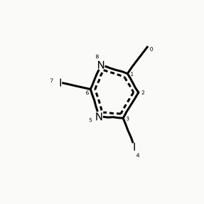 Cc1cc(I)nc(I)n1